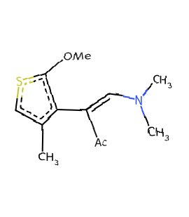 COc1scc(C)c1C(=CN(C)C)C(C)=O